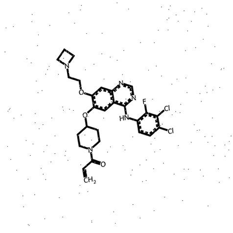 C=CC(=O)N1CCC(Oc2cc3c(Nc4ccc(Cl)c(Cl)c4F)ncnc3cc2OCCN2CCC2)CC1